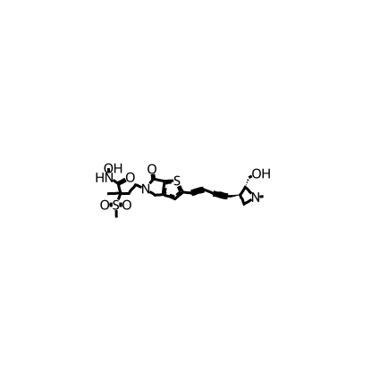 CN1C[C@@H](C#CC#Cc2cc3c(s2)C(=O)N(CCC(C)(C(=O)NO)S(C)(=O)=O)C3)[C@@H]1CO